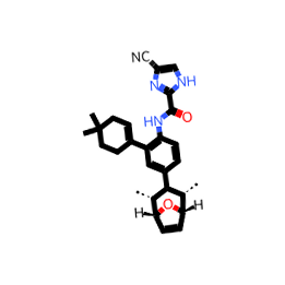 C[C@@H]1C(c2ccc(NC(=O)c3nc(C#N)c[nH]3)c(C3=CCC(C)(C)CC3)c2)[C@H](C)[C@@H]2C=C[C@H]1O2